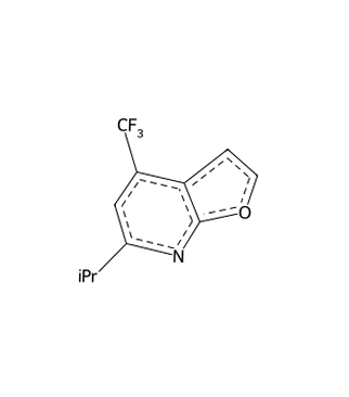 CC(C)c1cc(C(F)(F)F)c2ccoc2n1